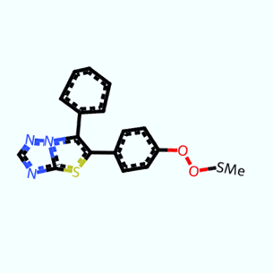 CSOOc1ccc(-c2sc3ncnn3c2-c2ccccc2)cc1